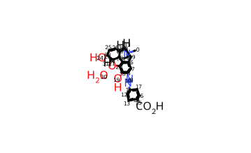 CN1CC[C@]23c4c5cc(N=Nc6ccc(C(=O)O)cc6)c(O)c4O[C@H]2[C@@H](O)C=C[C@H]3[C@H]1C5.O